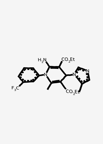 CCOC(=O)C1=C(C)N(c2cccc(C(F)(F)F)c2)C(N)=C(C(=O)OCC)C1n1cncc1C